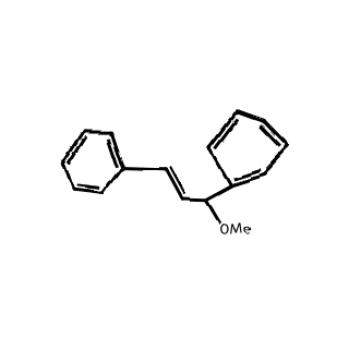 COC(/C=C/c1ccccc1)c1ccccc1